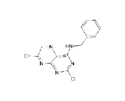 Clc1cnc2c(NCc3ccccc3)nc(Cl)nc2n1